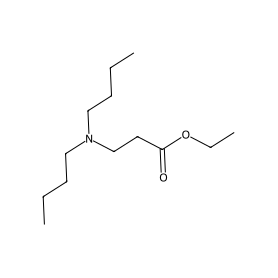 CCCCN(CCCC)CCC(=O)OCC